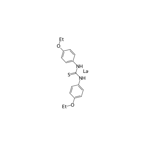 CCOc1ccc(NC(=S)Nc2ccc(OCC)cc2)cc1.[La]